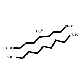 CCCCCCCCCCCCCCCCCC(=O)[O-].CCCCCCCCCCCCCCCCCC(=O)[O-].[Hg+2]